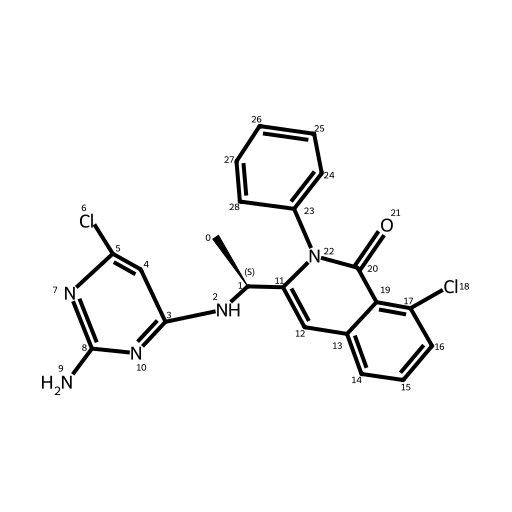 C[C@H](Nc1cc(Cl)nc(N)n1)c1cc2cccc(Cl)c2c(=O)n1-c1ccccc1